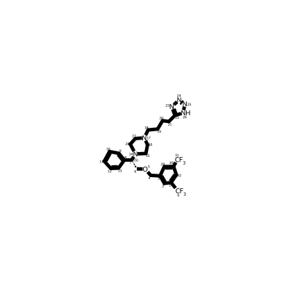 FC(F)(F)c1cc(COC[C@H](c2ccccc2)N2CCN(CCCCc3nnn[nH]3)CC2)cc(C(F)(F)F)c1